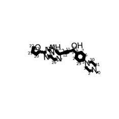 CN1CCN(c2ccc(C(O)C#CC3=C[N+]4(N)N=C(c5ccco5)N=C4C=N3)cc2)CC1